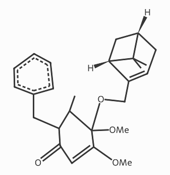 COC1=CC(=O)C(Cc2ccccc2)C(C)C1(OC)OCC1=CC[C@H]2C[C@@H]1C2(C)C